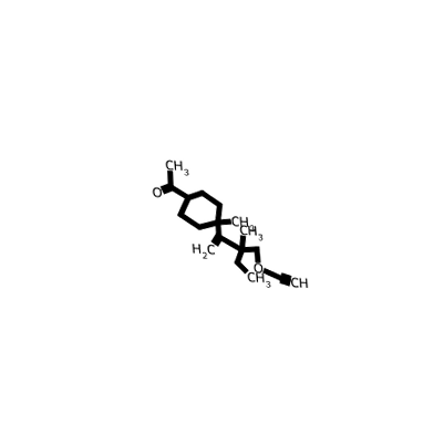 C#COCC(C)(CC)C(=C)C1(C)CCC(C(C)=O)CC1